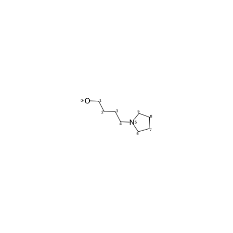 [O]CCCCN1CCCC1